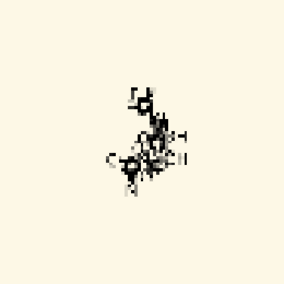 CO[C@@H]1[C@@H](n2cc(-c3cc(F)c(F)c(F)c3)nn2)[C@@H](O)[C@@H](CO)O[C@H]1C(=O)N(c1cc(Cl)cc(C#N)c1)[C@H]1COC[C@@H]1O